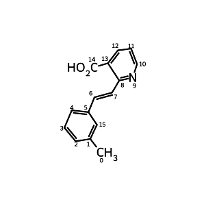 Cc1cccc(C=Cc2ncccc2C(=O)O)c1